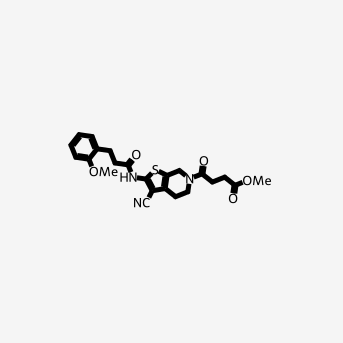 COC(=O)CCC(=O)N1CCc2c(sc(NC(=O)CCc3ccccc3OC)c2C#N)C1